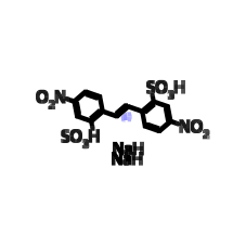 O=[N+]([O-])c1ccc(/C=C/c2ccc([N+](=O)[O-])cc2S(=O)(=O)O)c(S(=O)(=O)O)c1.[NaH].[NaH]